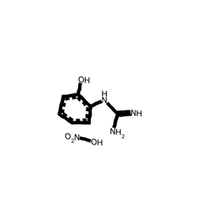 N=C(N)Nc1ccccc1O.O=[N+]([O-])O